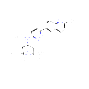 Cc1ccc2cc(-c3ccc(N(C)C4CC(C)(C)NC(C)(C)C4)nn3)ccc2n1